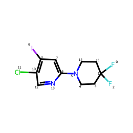 FC1(F)CCN(c2cc(I)c(Cl)cn2)CC1